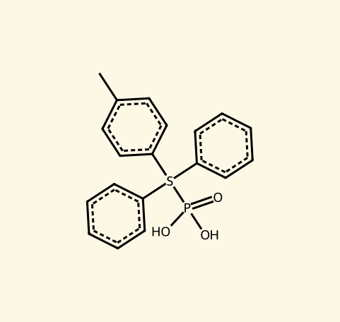 Cc1ccc(S(c2ccccc2)(c2ccccc2)P(=O)(O)O)cc1